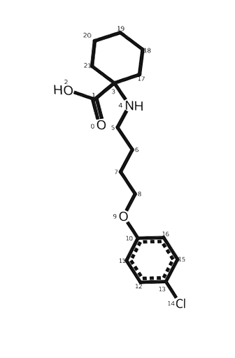 O=C(O)C1(NCCCCOc2ccc(Cl)cc2)CCCCC1